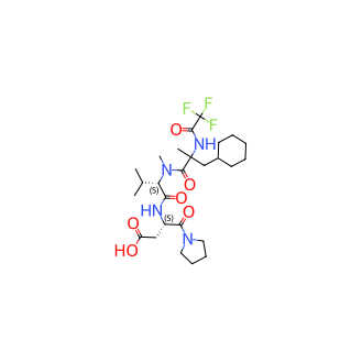 CC(C)[C@@H](C(=O)N[C@@H](CC(=O)O)C(=O)N1CCCC1)N(C)C(=O)C(C)(CC1CCCCC1)NC(=O)C(F)(F)F